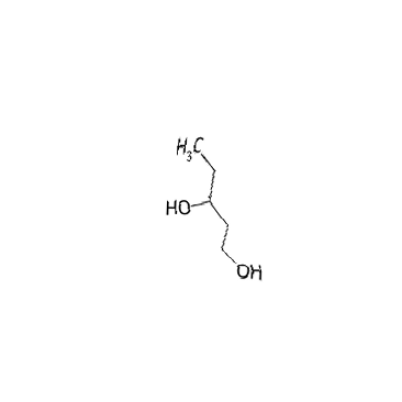 CC[C](O)CCO